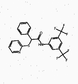 O=C(Nc1cc(C(F)(F)F)cc(C(F)(F)F)c1)C(Sc1ccccn1)c1ccccc1